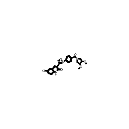 COC1CN(C(=O)c2ccc(-n3cc(-c4cc5cc(Cl)ccc5[nH]c4=O)nn3)cc2)CC1OC